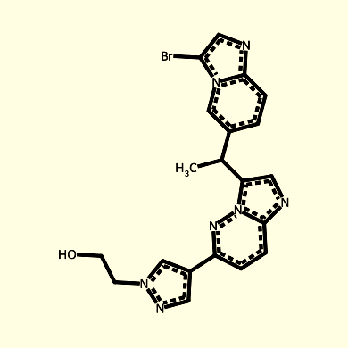 CC(c1ccc2ncc(Br)n2c1)c1cnc2ccc(-c3cnn(CCO)c3)nn12